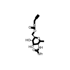 C#CCNC(=O)OC[C@H]1OC(C)[C@H](NC(=O)CCC)[C@@H](O)[C@@H]1O